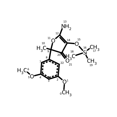 COc1cc(OC)cc(C2(C)OC(N)=C(O[Si](C)(C)C)C2=O)c1